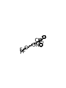 Cc1c(COCCCCOCCC(F)(F)F)nc2ccccc2c1OCc1ccccc1